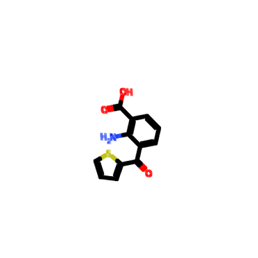 Nc1c(C(=O)O)cccc1C(=O)c1cccs1